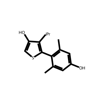 Cc1cc(O)cc(C)c1-c1scc(O)c1C(C)C